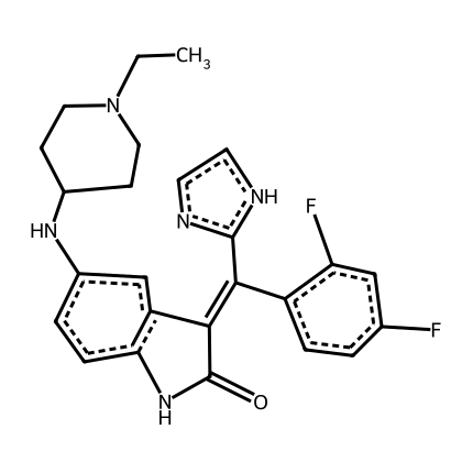 CCN1CCC(Nc2ccc3c(c2)C(=C(c2ncc[nH]2)c2ccc(F)cc2F)C(=O)N3)CC1